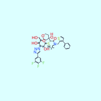 CN(Cc1sccc1-c1ccccc1)C(=O)C(S[C@@H]1O[C@H](CO)[C@H](O)[C@H](n2cc(-c3cc(F)c(F)c(F)c3)nn2)[C@H]1O)C1(O)CCOCC1